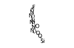 C[Si](C)(C)CCOCOc1ccnc(N2Cc3nn(-c4ccc(N5CC[C@@H](F)C5)nc4)cc3C2=O)c1